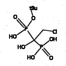 CC(C)(C)OP(=O)(O)C(O)(CCl)P(=O)(O)O